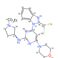 CCOC(=O)N1CC[C@H](Nc2nc(N3CCOCC3)cc(-n3c(C(F)F)nc4ccccc43)n2)C1